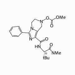 CNC(=O)[C@@H](NC(=O)c1nc(-c2ccccc2)n2c1CN(OC(=O)OC)CC2)C(C)(C)C